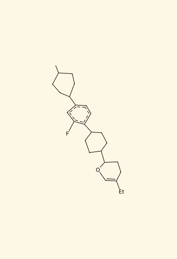 CCC1=COC(C2CCC(c3ccc(C4CCC(C)CC4)cc3F)CC2)CC1